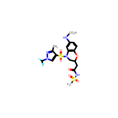 Cc1nn(C(F)F)cc1S(=O)(=O)N1CC(CC(=O)NS(=O)(=O)C(F)(F)F)Oc2ccc(NC(=O)O)cc21